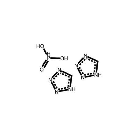 O=[PH](O)O.c1nnn[nH]1.c1nnn[nH]1